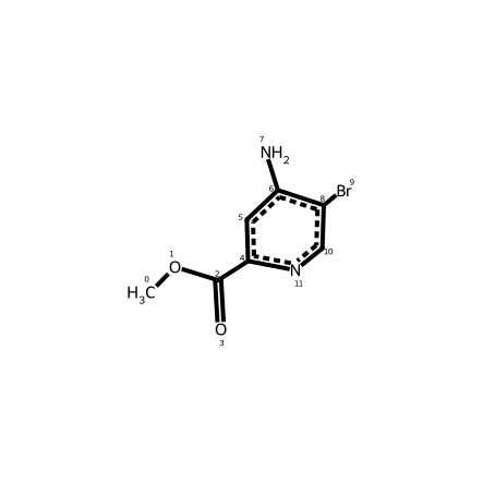 COC(=O)c1cc(N)c(Br)cn1